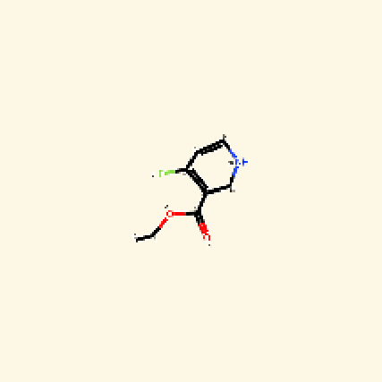 CCOC(=O)C1=C(F)C=CNC1